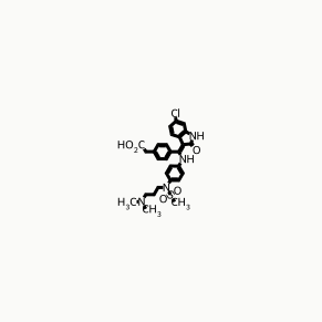 CN(C)CCCN(c1ccc(N/C(=C2\C(=O)Nc3cc(Cl)ccc32)c2ccc(CC(=O)O)cc2)cc1)S(C)(=O)=O